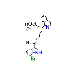 CCCCCCCC/C=C\CCCC(CCCC/C=C(\C#N)c1c[nH]c2c(Br)cccc12)c1nccc2ccccc12